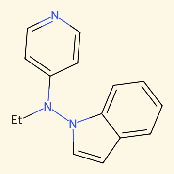 CCN(c1ccncc1)n1ccc2ccccc21